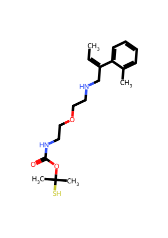 C/C=C(/CNCCOCCNC(=O)OC(C)(C)S)c1ccccc1C